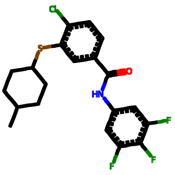 CC1CCC(Sc2cc(C(=O)Nc3cc(F)c(F)c(F)c3)ccc2Cl)CC1